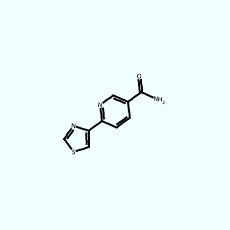 NC(=O)c1ccc(-c2cscn2)nc1